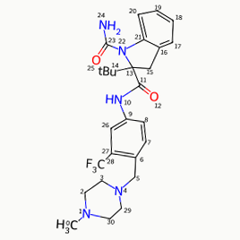 CN1CCN(Cc2ccc(NC(=O)C3(C(C)(C)C)Cc4ccccc4N3C(N)=O)cc2C(F)(F)F)CC1